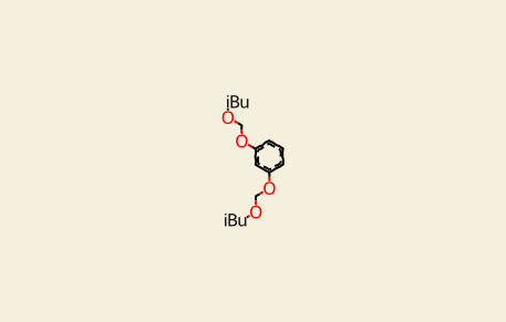 CCC(C)OCOc1cccc(OCOC(C)CC)c1